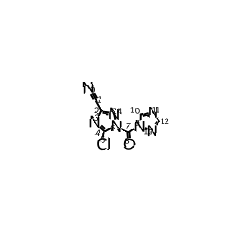 N#Cc1nc(Cl)n(C(=O)n2cncn2)n1